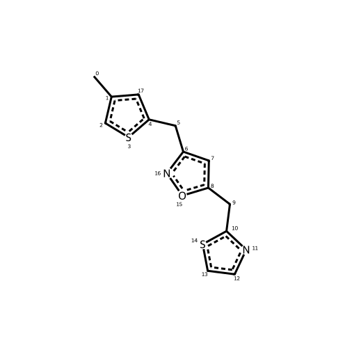 Cc1csc(Cc2cc(Cc3nccs3)on2)c1